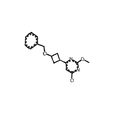 COc1nc(Cl)cc(C2CC(OCc3ccccc3)C2)n1